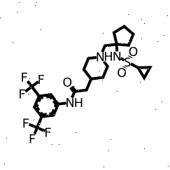 O=C(CC1CCN(CC2(NS(=O)(=O)C3CC3)CCCC2)CC1)Nc1cc(C(F)(F)F)cc(C(F)(F)F)c1